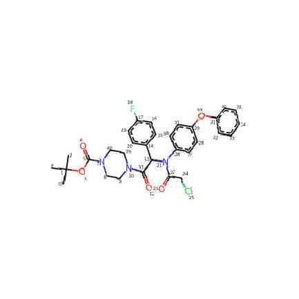 CC(C)(C)OC(=O)N1CCN(C(=O)C(c2ccc(F)cc2)N(C(=O)CCl)c2ccc(Oc3ccccc3)cc2)CC1